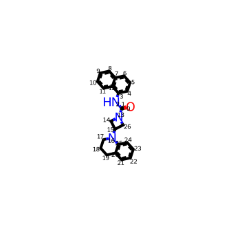 O=C(Nc1cccc2ccccc12)N1CC(N2CCCc3ccccc32)C1